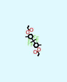 C=CC(=O)Oc1ccc(C(c2ccc(OC(=O)C=C)c(C)c2)(C(F)(F)F)C(F)(F)F)cc1C